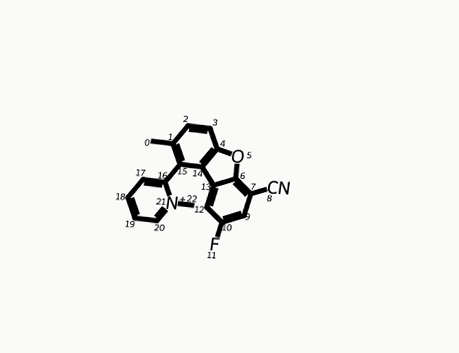 Cc1ccc2oc3c(C#N)cc(F)cc3c2c1-c1cccc[n+]1C